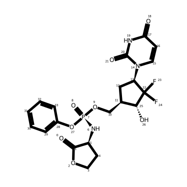 O=C1OCC[C@@H]1N[P@@](=O)(OC[C@H]1C[C@@H](n2ccc(=O)[nH]c2=O)C(F)(F)[C@@H]1O)Oc1ccccc1